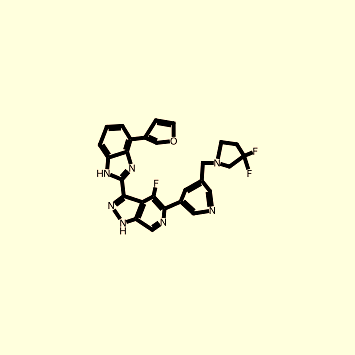 Fc1c(-c2cncc(CN3CCC(F)(F)C3)c2)ncc2[nH]nc(-c3nc4c(-c5ccoc5)cccc4[nH]3)c12